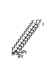 CC(C)[SiH](C(C)C)C(F)(F)C(F)(F)C(F)(F)C(F)(F)C(F)(F)C(F)(F)C(F)(F)C(F)(F)C(F)(F)C(F)(F)C(F)(F)C(F)(F)F